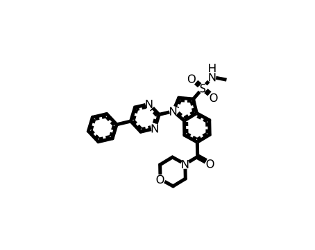 CNS(=O)(=O)c1cn(-c2ncc(-c3ccccc3)cn2)c2cc(C(=O)N3CCOCC3)ccc12